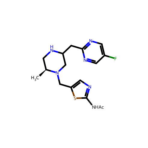 CC(=O)Nc1ncc(CN2CC(Cc3ncc(F)cn3)NC[C@@H]2C)s1